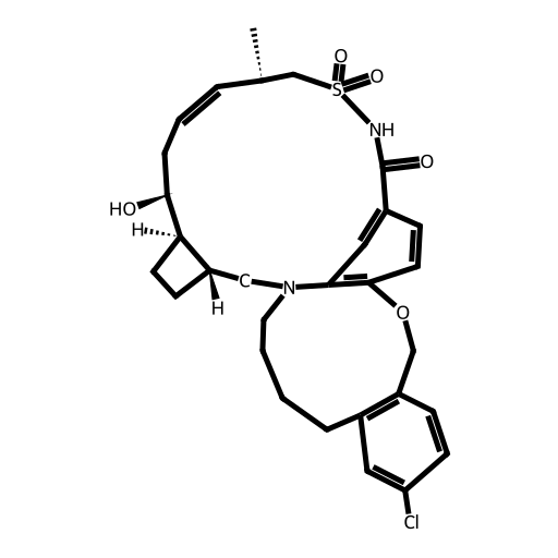 C[C@H]1/C=C\C[C@H](O)[C@@H]2CC[C@H]2CN2CCCCc3cc(Cl)ccc3COc3ccc(cc32)C(=O)NS(=O)(=O)C1